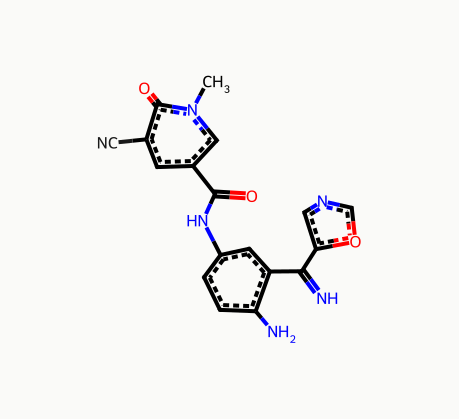 Cn1cc(C(=O)Nc2ccc(N)c(C(=N)c3cnco3)c2)cc(C#N)c1=O